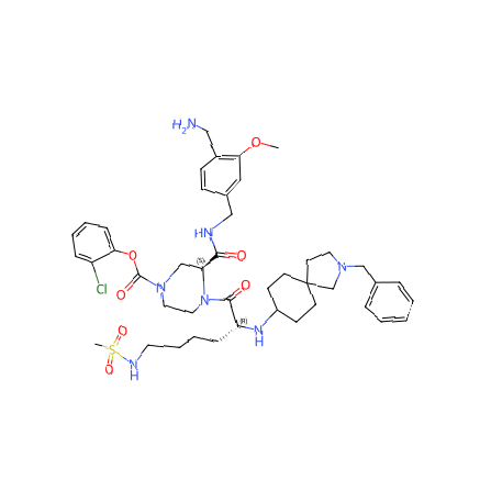 COc1cc(CNC(=O)[C@@H]2CN(C(=O)Oc3ccccc3Cl)CCN2C(=O)[C@@H](CCCCNS(C)(=O)=O)NC2CCC3(CC2)CCN(Cc2ccccc2)C3)ccc1CN